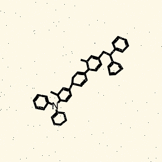 CC1C=C(CC(c2ccccc2)c2ccccc2)C=CC1C1=CCC(C2=CC(C)C(N(C3=CCCCC3)c3ccccc3)C=C2)C=C1